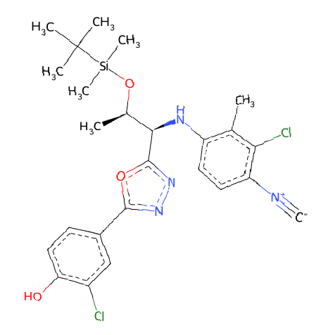 [C-]#[N+]c1ccc(N[C@@H](c2nnc(-c3ccc(O)c(Cl)c3)o2)[C@@H](C)O[Si](C)(C)C(C)(C)C)c(C)c1Cl